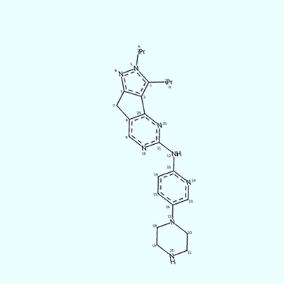 CC(C)c1c2c(nn1C(C)C)Cc1cnc(Nc3ccc(N4CCNCC4)cn3)nc1-2